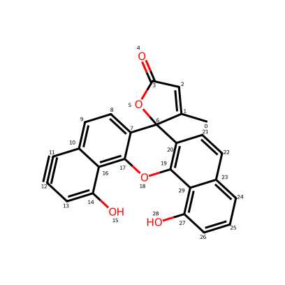 CC1=CC(=O)OC12c1ccc3c#ccc(O)c3c1Oc1c2ccc2cccc(O)c12